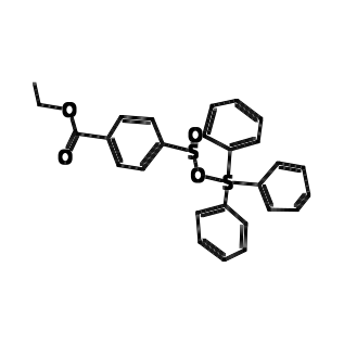 CCOC(=O)c1ccc(S(=O)OS(c2ccccc2)(c2ccccc2)c2ccccc2)cc1